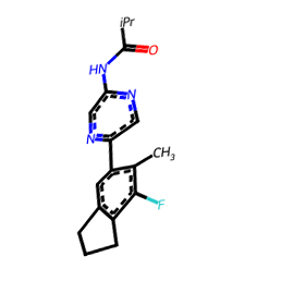 Cc1c(-c2cnc(NC(=O)C(C)C)cn2)cc2c(c1F)CCC2